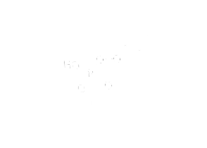 C=CCOP(=O)(O)OOCCC